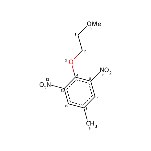 COCCOc1c([N+](=O)[O-])cc(C)cc1[N+](=O)[O-]